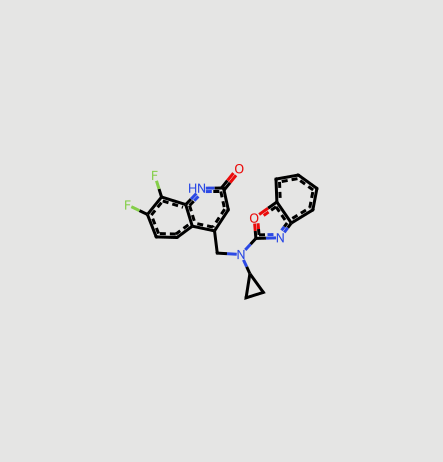 O=c1cc(CN(c2nc3ccccc3o2)C2CC2)c2ccc(F)c(F)c2[nH]1